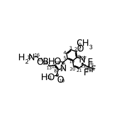 COc1ccc(-c2nc(C(=O)O)c(CBOCN)o2)c2ccc(C(F)(F)F)nc12